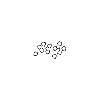 c1ccc(-c2cc3c(c4ccccc24)C(c2ccccc2)(c2ccccc2)c2cc(N(c4ccccc4)c4ccc5c(c4)C(c4ccccc4)(c4ccccc4)c4ccccc4-5)ccc2-3)cc1